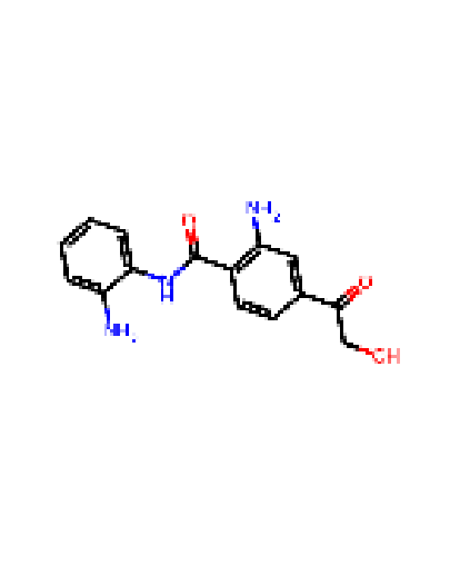 Nc1ccccc1NC(=O)c1ccc(C(=O)CO)cc1N